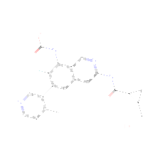 Cc1ccncc1-c1cc2cc(NC(=O)C3CC3CO)ncc2c(NC(=O)O)c1F